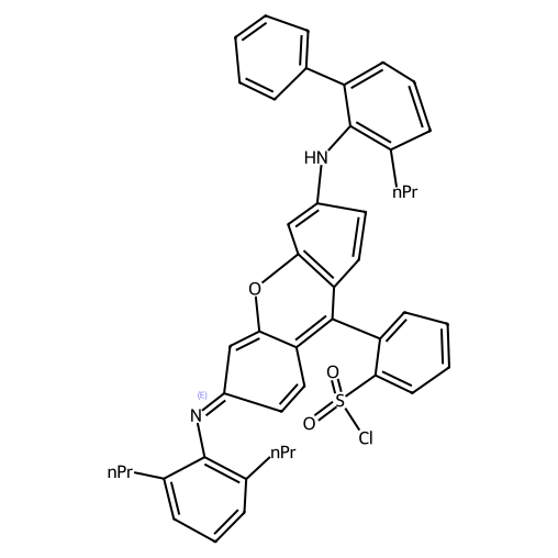 CCCc1cccc(CCC)c1/N=c1\ccc2c(-c3ccccc3S(=O)(=O)Cl)c3ccc(Nc4c(CCC)cccc4-c4ccccc4)cc3oc-2c1